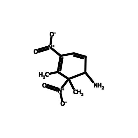 CC1=C([N+](=O)[O-])C=CC(N)C1(C)[N+](=O)[O-]